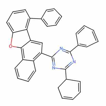 C1=CCC(c2nc(-c3ccccc3)nc(-c3cc4c(oc5cccc(-c6ccccc6)c54)c4ccccc34)n2)C=C1